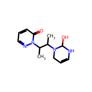 CC(C(C)n1ncccc1=O)N1CC=CNC1O